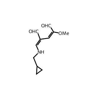 CO/C(C=O)=C/C(C=O)=C\NCC1CC1